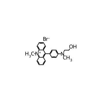 CN(CCO)c1ccc(-c2c3ccccc3[n+](C)c3ccccc23)cc1.[Br-]